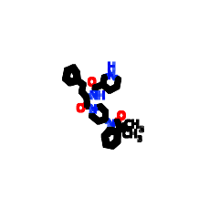 CC1(C)C(=O)N(C2CCN(C(=O)C(CCc3ccccc3)NC(=O)C3CCCNC3)CC2)c2ccccc21